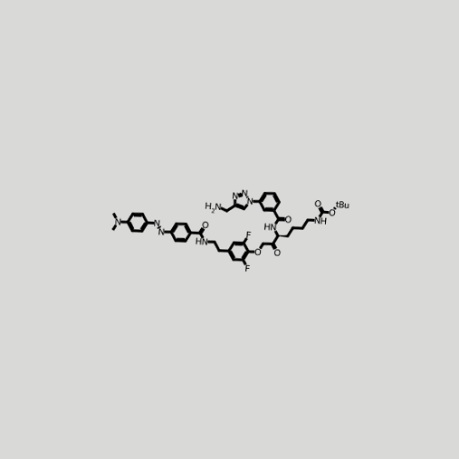 CN(C)c1ccc(/N=N/c2ccc(C(=O)NCCc3cc(F)c(OCC(=O)[C@H](CCCCNC(=O)OC(C)(C)C)NC(=O)c4cccc(-n5cc(CN)nn5)c4)c(F)c3)cc2)cc1